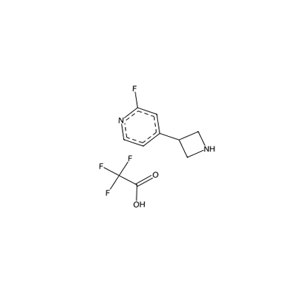 Fc1cc(C2CNC2)ccn1.O=C(O)C(F)(F)F